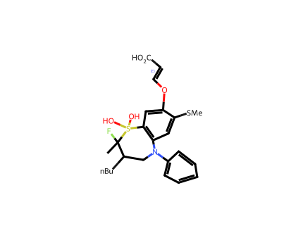 CCCCC1CN(c2ccccc2)c2cc(SC)c(O/C=C/C(=O)O)cc2S(O)(O)C1(C)F